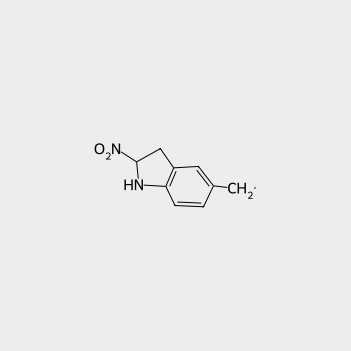 [CH2]c1ccc2c(c1)CC([N+](=O)[O-])N2